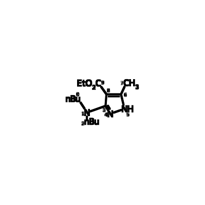 CCCCN(CCCC)c1n[nH]c(C)c1C(=O)OCC